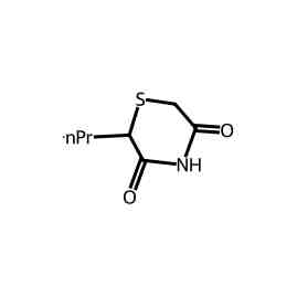 CC[CH]C1SCC(=O)NC1=O